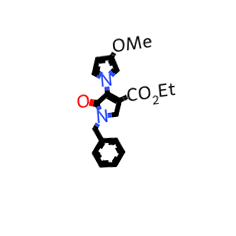 CCOC(=O)C1=C(n2ccc(OC)c2)C(=O)N(Cc2ccccc2)C1